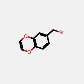 BrCc1ccc2c(c1)OC=CO2